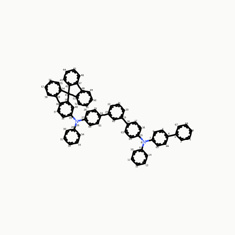 c1ccc(-c2ccc(N(c3ccccc3)c3ccc(-c4cccc(-c5ccc(N(c6ccccc6)c6ccc7c(c6)C6(c8ccccc8-c8ccccc86)c6ccccc6-7)cc5)c4)cc3)cc2)cc1